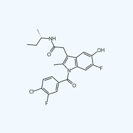 CC[C@H](C)NC(=O)Cc1c(C)n(C(=O)c2ccc(Cl)c(F)c2)c2cc(F)c(O)cc12